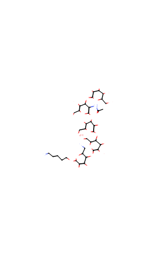 CC(=O)NC1C(OC2C(O)C(CO)OC(OC3C(CO)OC(OC4C(CN)OC(OCCCCCN)C(O)C4O)C(O)C3O)C2O)OC(CO)C(O)C1OC1OC(CO)C(O)C(O)C1O